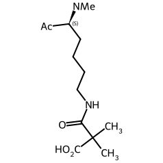 CN[C@@H](CCCCNC(=O)C(C)(C)C(=O)O)C(C)=O